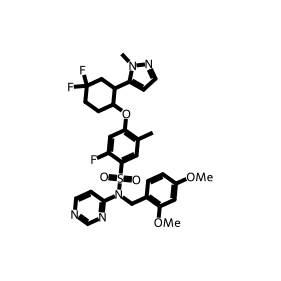 COc1ccc(CN(c2ccncn2)S(=O)(=O)c2cc(C)c(OC3CCC(F)(F)CC3c3ccnn3C)cc2F)c(OC)c1